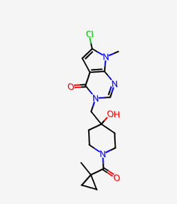 Cn1c(Cl)cc2c(=O)n(CC3(O)CCN(C(=O)C4(C)CC4)CC3)cnc21